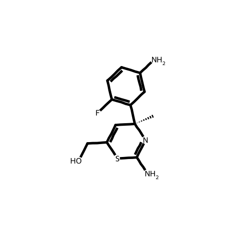 C[C@@]1(c2cc(N)ccc2F)C=C(CO)SC(N)=N1